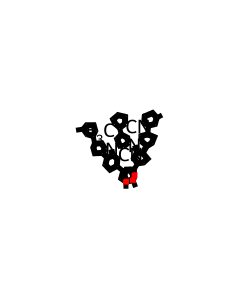 Cc1cccc(-c2ccc3c4ccc(-c5cccc(C)c5)cc4n(-c4cc(-c5c(C#N)cccc5C(F)(F)F)cc(-n5c6cc(-c7cccc(C)c7)ccc6c6ccc(-c7cccc(C)c7)cc65)c4C#N)c3c2)c1